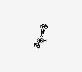 O=C(N[C@H]1CC[C@H](CCN2CCN(c3nccc4c3OCC4)CC2)CC1)Oc1ccnc2ccccc12